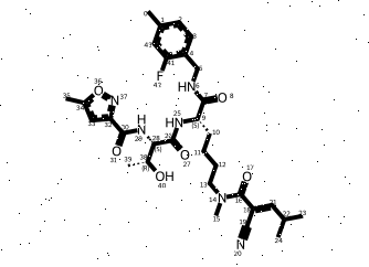 Cc1ccc(CNC(=O)[C@H](CCCCN(C)C(=O)C(C#N)=CC(C)C)NC(=O)[C@@H](NC(=O)c2cc(C)on2)[C@@H](C)O)c(F)c1